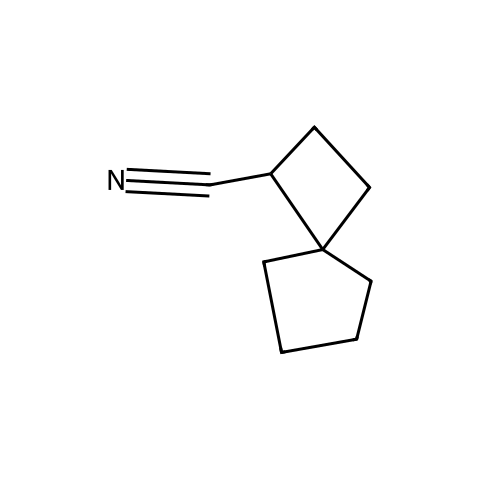 N#CC1CCC12CCCC2